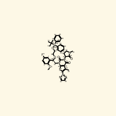 COc1ccc(F)cc1[C@H](Cn1c(=O)n(C2CCN(C)C2=O)c(=O)c2c(C)c(-n3nccn3)sc21)OCCO[Si](c1ccccc1)(c1ccccc1)C(C)(C)C